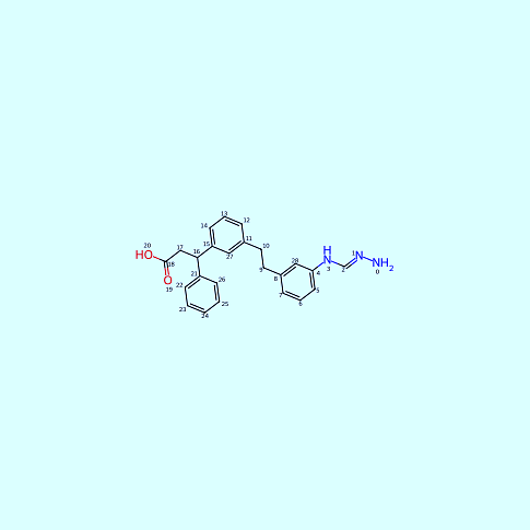 NN=CNc1cccc(CCc2cccc(C(CC(=O)O)c3ccccc3)c2)c1